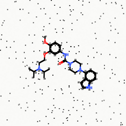 COc1ccc(NC(=O)N2CCN(c3cccc4[nH]ccc34)CC2)cc1OCCN(C(C)C)C(C)C